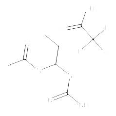 CCC(NC(=N)N)NC(C)=O.O=C(O)C(F)(F)F